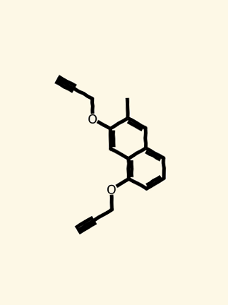 C#CCOc1cc2c(OCC#C)cccc2cc1C